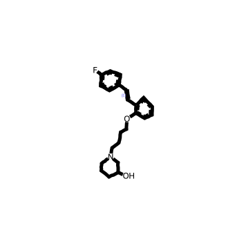 OC1CCCN(CCCCOc2ccccc2/C=C/c2ccc(F)cc2)C1